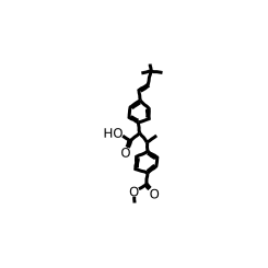 COC(=O)c1ccc(C(C)C(C(=O)O)c2ccc(C=CC(C)(C)C)cc2)cc1